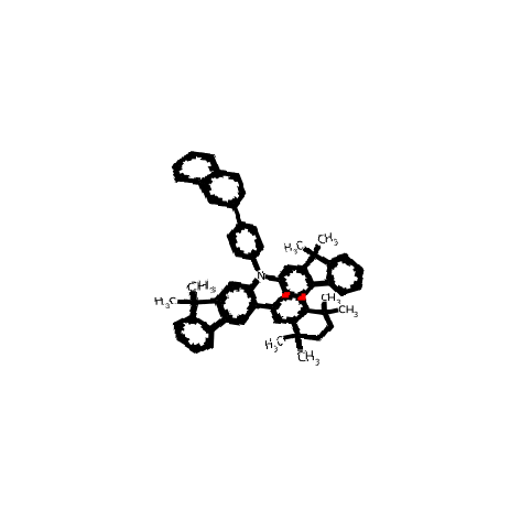 CC1(C)CCC(C)(C)c2cc(-c3cc4c(cc3N(c3ccc(-c5ccc6ccccc6c5)cc3)c3ccc5c(c3)C(C)(C)c3ccccc3-5)C(C)(C)c3ccccc3-4)ccc21